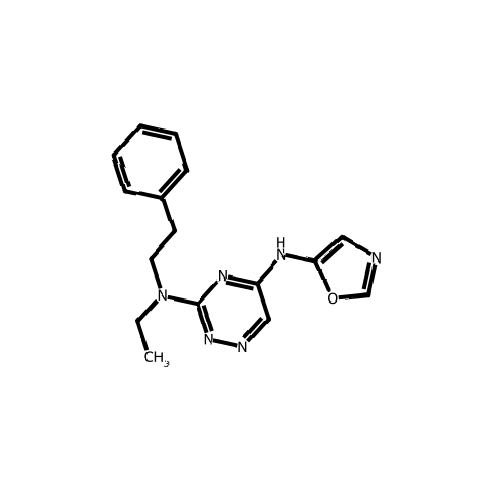 CCN(CCc1ccccc1)c1nncc(Nc2cnco2)n1